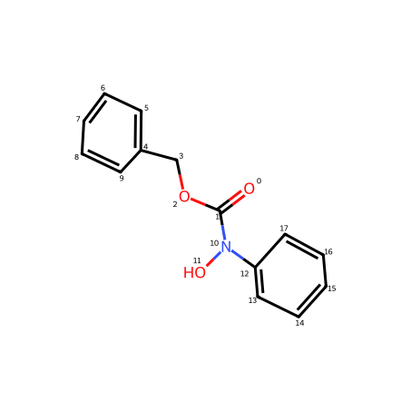 O=C(OCc1ccccc1)N(O)c1ccccc1